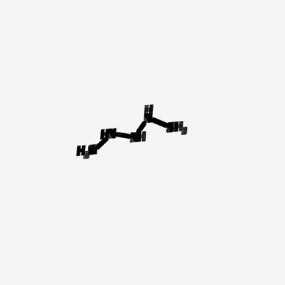 [SiH3]NNN[SiH3]